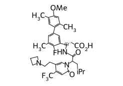 COc1cc(C)c(-c2cc(C)c(F)c([C@H](CC(=O)O)NC(=O)C(CC(C)C)n3cc(CCN4CCC4)c(C(F)(F)F)cc3=O)c2)cc1C